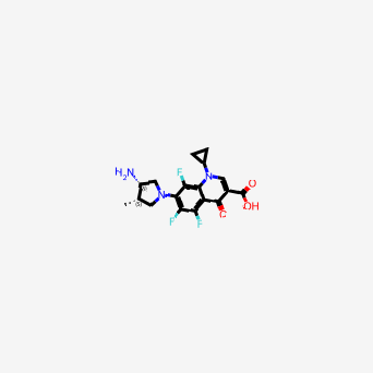 C[C@H]1CN(c2c(F)c(F)c3c(=O)c(C(=O)O)cn(C4CC4)c3c2F)C[C@H]1N